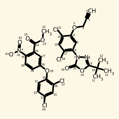 C#CCOc1cc(-n2nc(C(C)(C)C)oc2=O)c(Cl)cc1Cl.COC(=O)c1cc(Oc2ccc(Cl)cc2Cl)ccc1[N+](=O)[O-]